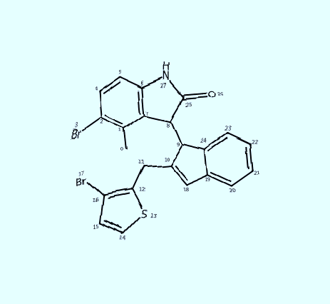 Cc1c(Br)ccc2c1C(C1C(Cc3sccc3Br)=Cc3ccccc31)C(=O)N2